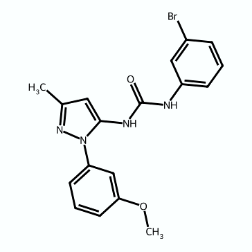 COc1cccc(-n2nc(C)cc2NC(=O)Nc2cccc(Br)c2)c1